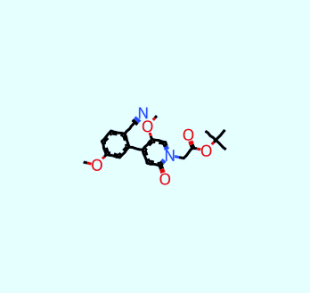 COc1ccc(C#N)c(-c2cc(=O)n(CC(=O)OC(C)(C)C)cc2OC)c1